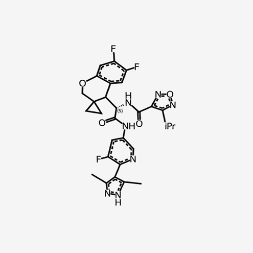 Cc1n[nH]c(C)c1-c1ncc(NC(=O)[C@@H](NC(=O)c2nonc2C(C)C)C2c3cc(F)c(F)cc3OCC23CC3)cc1F